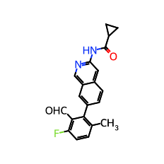 Cc1ccc(F)c(C=O)c1-c1ccc2cc(NC(=O)C3CC3)ncc2c1